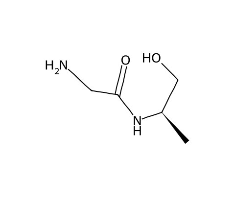 C[C@H](CO)NC(=O)CN